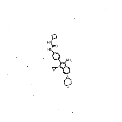 Nc1c(-c2ccc(NC(=O)NC3CCC3)cc2)n(C2CC2)c2cc(N3CCOCC3)ccc12